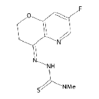 CNC(=S)N/N=C1/CCOc2cc(F)cnc21